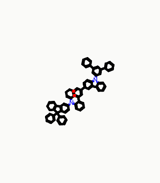 C1=CC(N(c2ccc3c(c2)C2=C(CCC=C2)C3(c2ccccc2)c2ccccc2)c2ccccc2-c2cccc(-c3ccc4c(c3)c3ccccc3n4-c3cc(-c4ccccc4)cc(-c4ccccc4)c3)c2)=CCC1